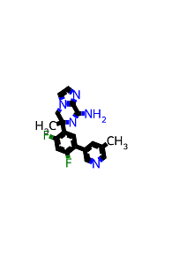 Cc1cncc(-c2cc(C3(C)Cn4ccnc4C(N)=N3)c(F)cc2F)c1